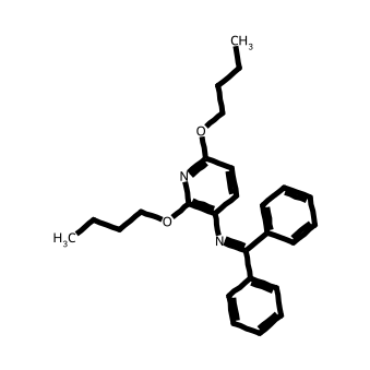 CCCCOc1ccc(N=C(c2ccccc2)c2ccccc2)c(OCCCC)n1